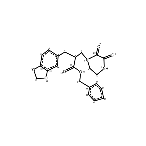 O=C1NCCN(CC(Cc2ccc3c(c2)OCO3)C(=O)OCc2ccccc2)C1=O